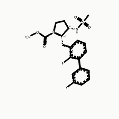 CC(C)(C)OC(=O)N1CC[C@H](NS(C)(=O)=O)[C@@H]1Cc1cccc(-c2cccc(F)c2)c1F